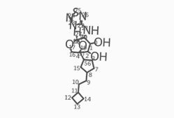 OC1C(O)[C@]2(C3CCC(CCC4CCC4)C3)CO[C@@H](O2)[C@@H]1Nc1nnsn1